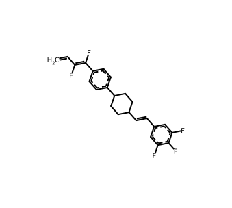 C=C/C(F)=C(\F)c1ccc(C2CCC(/C=C/c3cc(F)c(F)c(F)c3)CC2)cc1